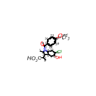 Cc1c(C(C)C(=O)O)c2cc(O)c(Cl)cc2n1C(=O)c1ccc(OC(F)(F)F)cc1